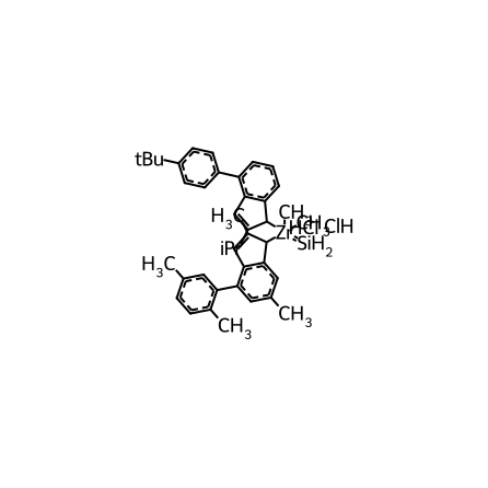 CC1=Cc2c(-c3cc(C)ccc3C)cc(C)cc2[CH]1[Zr]([CH3])([CH3])(=[SiH2])[CH]1C(C(C)C)=Cc2c(-c3ccc(C(C)(C)C)cc3)cccc21.Cl.Cl